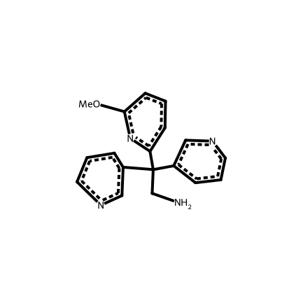 COc1cccc(C(CN)(c2cccnc2)c2cccnc2)n1